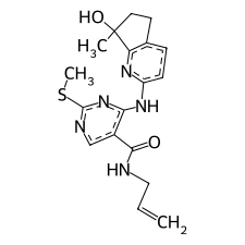 C=CCNC(=O)c1cnc(SC)nc1Nc1ccc2c(n1)C(C)(O)CC2